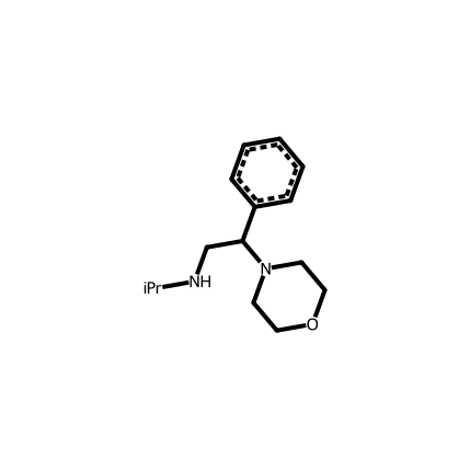 CC(C)NCC(c1ccccc1)N1CCOCC1